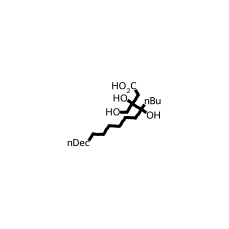 CCCCCCCCCCCCCCCCC(O)(CCCC)C(O)(CO)CC(=O)O